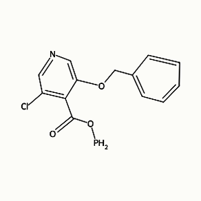 O=C(OP)c1c(Cl)cncc1OCc1ccccc1